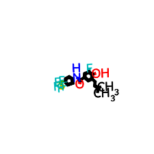 CC(C)=CCc1cc(C(=O)Nc2ccc(S(F)(F)(F)(F)F)cc2)cc(F)c1O